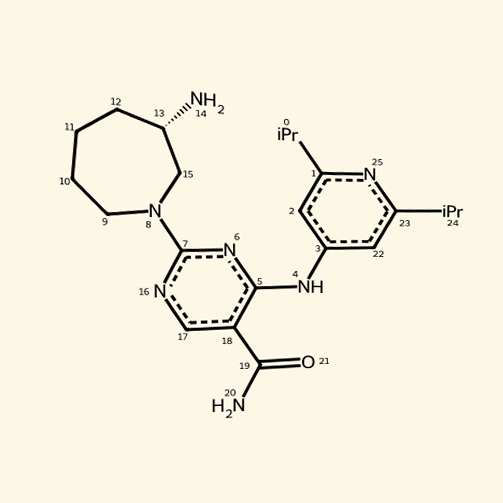 CC(C)c1cc(Nc2nc(N3CCCC[C@H](N)C3)ncc2C(N)=O)cc(C(C)C)n1